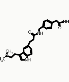 CN(C)CCc1c[nH]c2ccc(CCC(=O)NCc3ccc(CC(N)=O)cc3)cc12